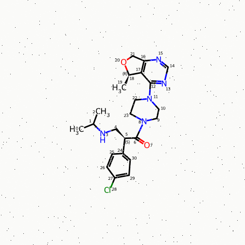 CC(C)NC[C@@H](C(=O)N1CCN(c2ncnc3c2[C@@H](C)OC3)CC1)c1ccc(Cl)cc1